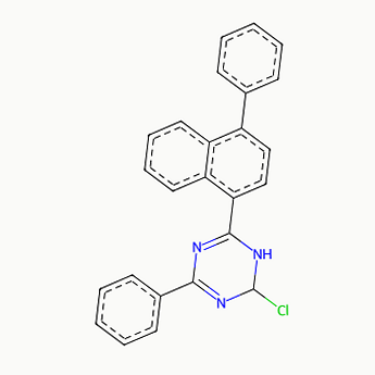 ClC1N=C(c2ccccc2)N=C(c2ccc(-c3ccccc3)c3ccccc23)N1